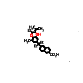 CCC(Oc1ccc(C(CC)(CC)c2ccc3cc(C(=O)O)ccc3c2)cc1C)C(O)=C(C)C